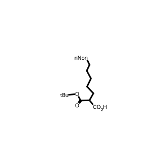 CCCCCCCCCCCCCCC(C(=O)O)C(=O)OC(C)(C)C